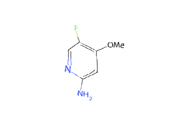 COc1cc(N)ncc1F